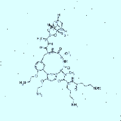 CCCCCCCCCCCCCC(=O)N[C@@H](CCCCN)C(=O)N(C)[C@@H]1C(=O)N[C@@H](C)C(=O)N[C@H](C(=O)N[C@@H](C)B2O[C@@H]3C[C@@H]4C[C@@H](C4(C)C)[C@]3(C)O2)Cc2ccc(OCCN)c(c2)-c2cc1ccc2OCCN